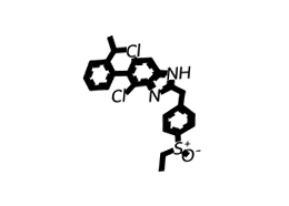 CC[S+]([O-])c1ccc(Cc2nc3c(Cl)c(-c4ccccc4C(C)C)c(Cl)cc3[nH]2)cc1